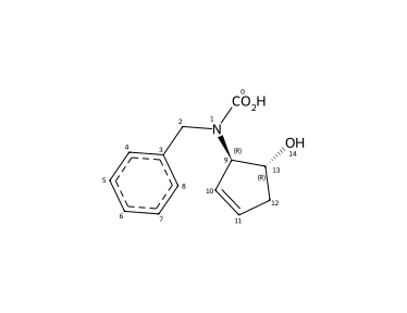 O=C(O)N(Cc1ccccc1)[C@@H]1C=CC[C@H]1O